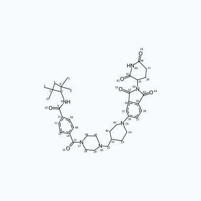 CC1(C)CC(C)(C)C1NC(=O)c1ccc(C(=O)N2CCN(CC3CCN(c4ccc5c(c4)C(=O)N(C4CCC(=O)NC4=O)C5=O)CC3)CC2)cc1